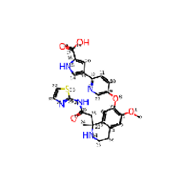 COc1cc2c(cc1Oc1ccc(-c3c[nH]c(C(=O)O)c3)nc1)[C@@](C)(CC(=O)Nc1nccs1)NCC2